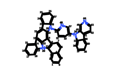 c1ccc2c(c1)ccc1c3c4c(cc5c6ccccc6n(c21)c53)c1ccccc1n4-c1ccc(-n2c3ccccc3c3ccncc32)cn1